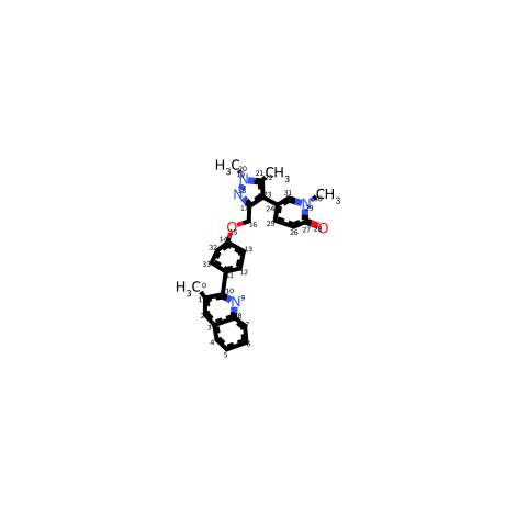 Cc1cc2ccccc2nc1-c1ccc(OCc2nn(C)c(C)c2-c2ccc(=O)n(C)c2)cc1